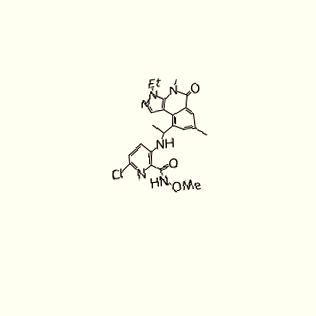 CCn1ncc2c3c(C(C)Nc4ccc(Cl)nc4C(=O)NOC)cc(C)cc3c(=O)n(C)c21